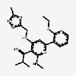 CCOc1ncccc1-c1cc(NCc2nnc(C)o2)c(C(=N)C(C)C)c(NC)n1